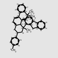 Cc1ccc(C2CC3=CC=C4C(=CC(C)(C)c5ccccc54)C3C(C)(c3cccc4c3Cc3ccccc3-4)C2)cc1